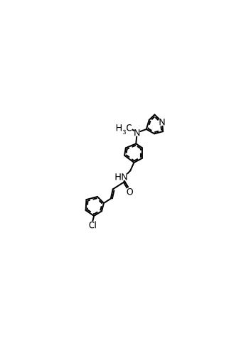 CN(c1ccncc1)c1ccc(CNC(=O)C=Cc2cccc(Cl)c2)cc1